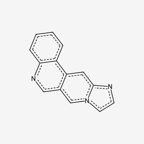 c1ccc2c(c1)ncc1cn3ccnc3cc12